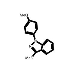 COc1ccc(-n2nc(SC)c3ccccc32)cc1